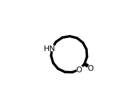 O=C1CCCCCCCNCCCCCO1